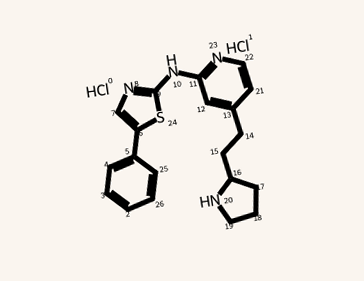 Cl.Cl.c1ccc(-c2cnc(Nc3cc(CCC4CCCN4)ccn3)s2)cc1